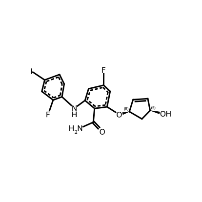 NC(=O)c1c(Nc2ccc(I)cc2F)cc(F)cc1O[C@H]1C=C[C@@H](O)C1